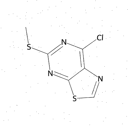 CSc1nc(Cl)c2ncsc2n1